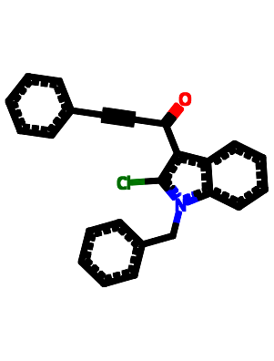 O=C(C#Cc1ccccc1)c1c(Cl)n(Cc2ccccc2)c2ccccc12